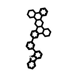 c1cc(-c2ccc3c(c2)C2CCCCC2C2CC4c5ccccc5C5CCCCC5C4CC32)cc(-c2cccc3c2sc2ccccc23)c1